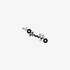 Cc1ccc(S(=O)(=O)OCCCCNC(=O)Nc2ccccc2)cc1